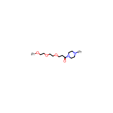 CC(C)OCCOCCOCCC(=O)N1CCN(C(C)C)CC1